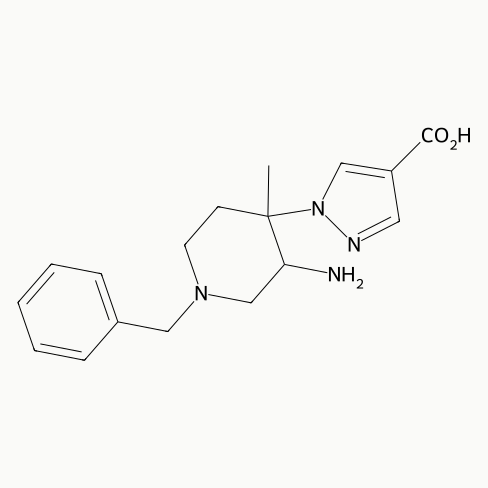 CC1(n2cc(C(=O)O)cn2)CCN(Cc2ccccc2)CC1N